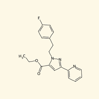 CCOC(=O)c1cc(-c2ccccn2)nn1CCc1ccc(F)cc1